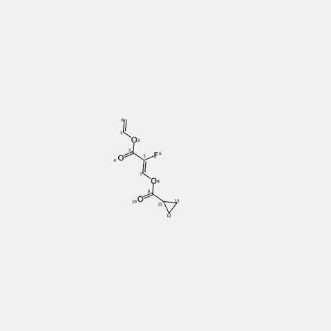 C=COC(=O)C(F)=COC(=O)C1CC1